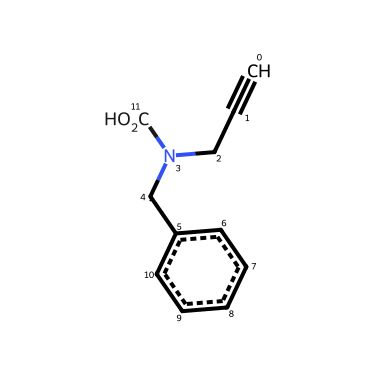 C#CCN([CH]c1ccccc1)C(=O)O